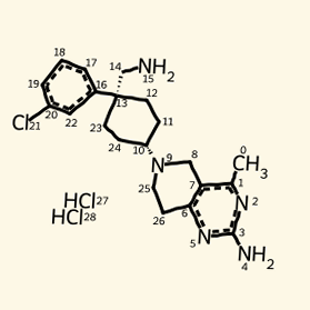 Cc1nc(N)nc2c1CN([C@H]1CC[C@](CN)(c3cccc(Cl)c3)CC1)CC2.Cl.Cl